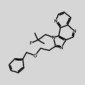 CC(C)(F)Cn1c(CCOCc2ccccc2)nc2cnc3cccnc3c21